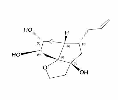 C=CC[C@@H]1C[C@]2(O)CCO[C@@]23C[C@@H](O)[C@H](O)C[C@H]13